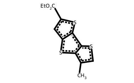 CCOC(=O)c1cc2sc3c(C)csc3c2s1